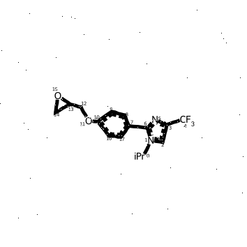 CC(C)n1cc(C(F)(F)F)nc1-c1ccc(OCC2CO2)cc1